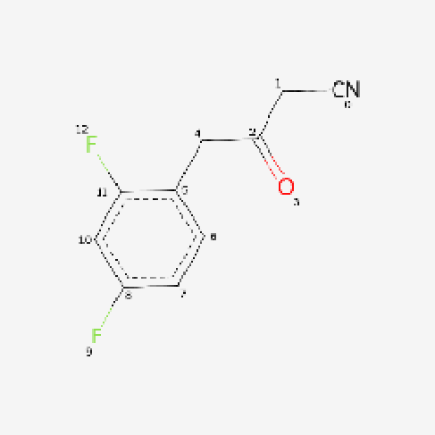 N#CCC(=O)Cc1ccc(F)cc1F